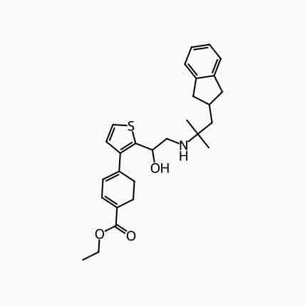 CCOC(=O)C1=CC=C(c2ccsc2C(O)CNC(C)(C)CC2Cc3ccccc3C2)CC1